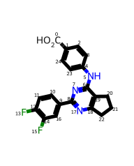 O=C(O)c1ccc(Nc2nc(-c3ccc(F)c(F)c3)nc3c2CCC3)cc1